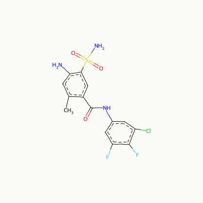 Cc1cc(N)c(S(N)(=O)=O)cc1C(=O)Nc1cc(F)c(F)c(Cl)c1